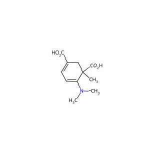 CN(C)C1=CC=C(C(=O)O)CC1(C)C(=O)O